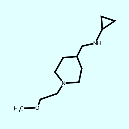 COCCN1CCC(CNC2CC2)CC1